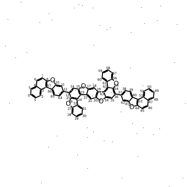 c1ccc2c(c1)ccc1oc3cc(-c4cc5oc6cc7c(cc6c5c5c4oc4ccccc45)oc4cc(-c5ccc6c(c5)oc5ccc8ccccc8c56)c5oc6ccccc6c5c47)ccc3c12